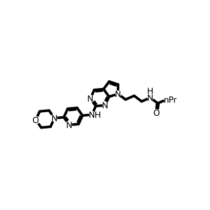 CCCC(=O)NCCCn1ccc2cnc(Nc3ccc(N4CCOCC4)nc3)nc21